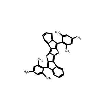 Cc1cc(C)c(C2=c3sc4c5c(sc4c3-c3ccccc32)=C(c2c(C)cc(C)cc2C)c2ccccc2-5)c(C)c1